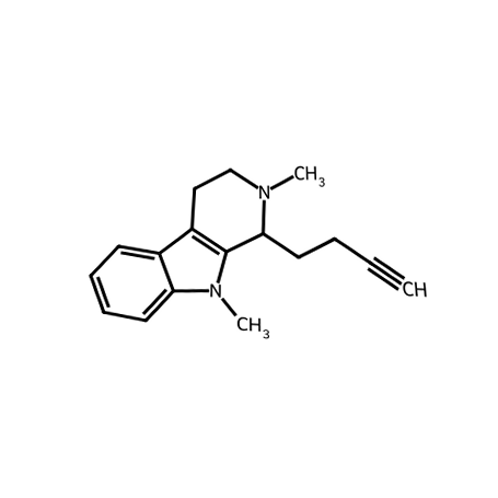 C#CCCC1c2c(c3ccccc3n2C)CCN1C